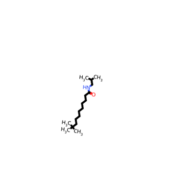 CC(C)CNC(=O)CCCCCCCCC(C)(C)C